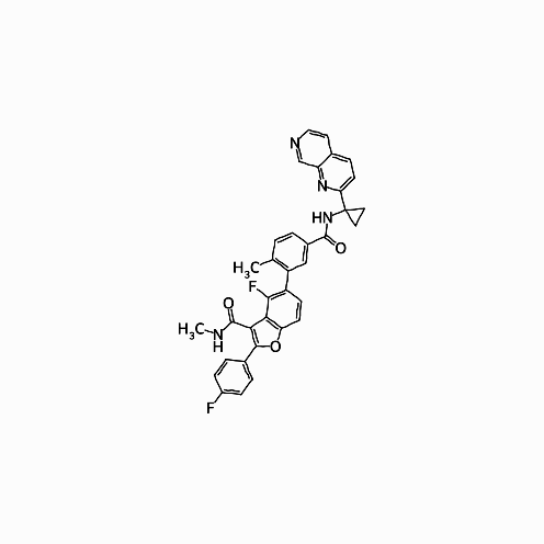 CNC(=O)c1c(-c2ccc(F)cc2)oc2ccc(-c3cc(C(=O)NC4(c5ccc6ccncc6n5)CC4)ccc3C)c(F)c12